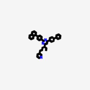 C=CC(C/C=C/c1cccnc1)c1cc(C2=CCC(c3ccccc3)C=C2)nc(-c2ccc(-c3cccc4ccccc34)cc2)n1